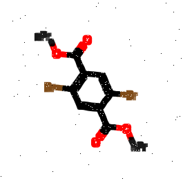 CCCOC(=O)c1cc(Br)c(C(=O)OCCC)cc1Br